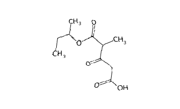 CCC(C)OC(=O)C(C)C(=O)CC(=O)O